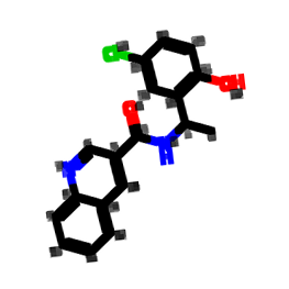 CC(NC(=O)c1cnc2ccccc2c1)c1cc(Cl)ccc1O